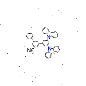 N#Cc1cc(-c2ccccc2)cc(-c2cc(-n3c4ccccc4c4ccccc43)cc(-n3c4ccccc4c4ccccc43)c2)c1